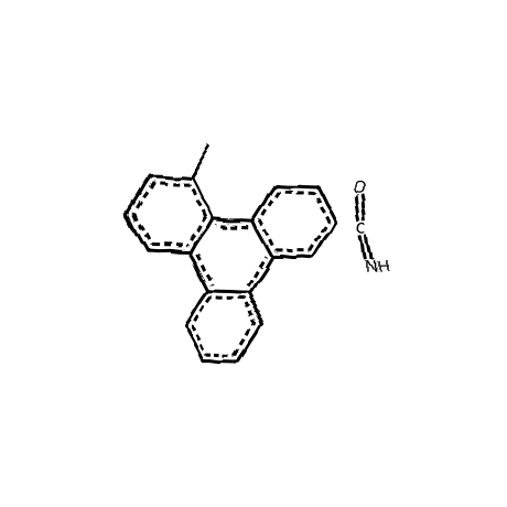 Cc1cccc2c3ccccc3c3ccccc3c12.N=C=O